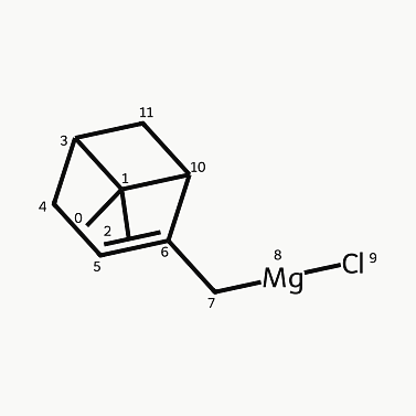 CC1(C)C2CC=C([CH2][Mg][Cl])C1C2